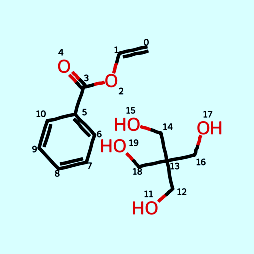 C=COC(=O)c1ccccc1.OCC(CO)(CO)CO